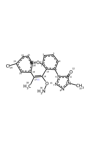 COc1cccc(-n2nnn(C)c2=O)c1/C(ON)=C(/C)c1cccc(Cl)c1